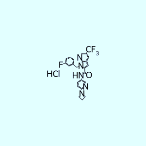 Cl.O=C(Nc1ccc(N2CCC2)nc1)c1cc2cc(C(F)(F)F)cnc2n1Cc1cccc(F)c1